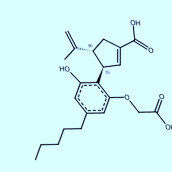 C=C(C)[C@@H]1CC(C(=O)O)=C[C@H]1c1c(O)cc(CCCCC)cc1OCC(=O)O